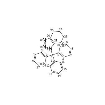 c1ccc(C(c2ccccc2)(c2ccccc2)n2nnc3c2CCCC3)cc1